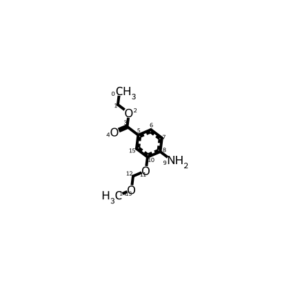 CCOC(=O)c1ccc(N)c(OCOC)c1